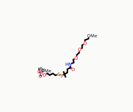 COCCOCCOCCOCCNC(=O)CCC(C)(C)SSCCCCOP(=O)(OC)OC(C)(C)C